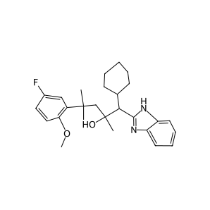 COc1ccc(F)cc1C(C)(C)CC(C)(O)C(c1nc2ccccc2[nH]1)C1CCCCC1